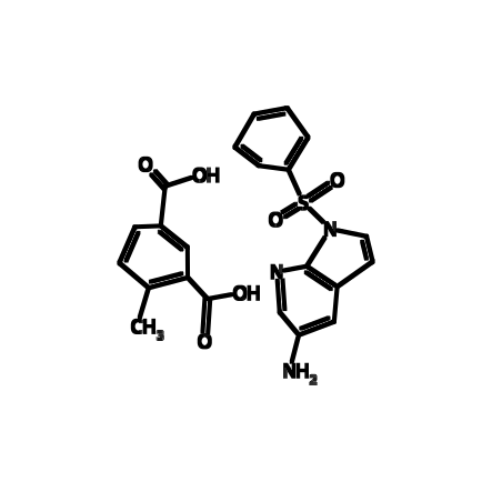 Cc1ccc(C(=O)O)cc1C(=O)O.Nc1cnc2c(ccn2S(=O)(=O)c2ccccc2)c1